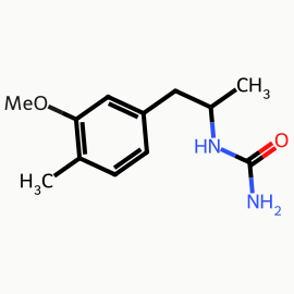 COc1cc(CC(C)NC(N)=O)ccc1C